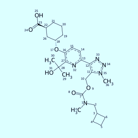 CN(CC1CCC1)C(=O)OCc1c(-c2ccc(O[C@H]3CCC[C@H](C(=O)O)C3)c(C(C)(C)O)n2)nnn1C